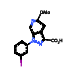 COc1cc2c(C(=O)O)nn(-c3cccc(I)c3)c2cn1